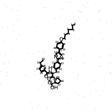 CCCCCCCOc1ccc(-c2cnc(-c3ccc(C[C@H](NC(=O)c4ccc(CC)s4)C(=O)N4CCC[C@H]4C(=O)O)cc3)nc2)cc1